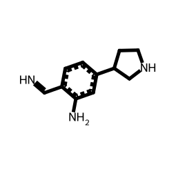 N=Cc1ccc(C2CCNC2)cc1N